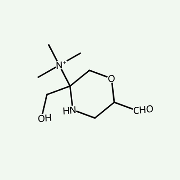 C[N+](C)(C)C1(CO)COC(C=O)CN1